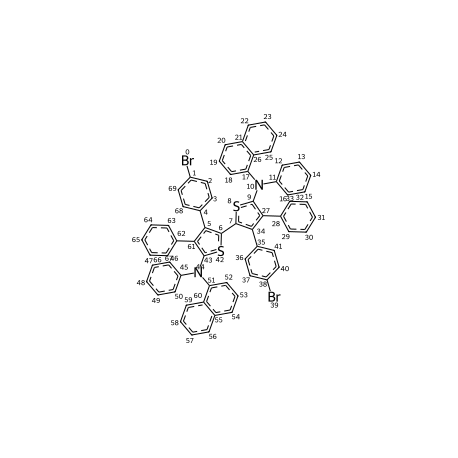 Brc1ccc(-c2c(-c3sc(N(c4ccccc4)c4cccc5ccccc45)c(-c4ccccc4)c3-c3ccc(Br)cc3)sc(N(c3ccccc3)c3cccc4ccccc34)c2-c2ccccc2)cc1